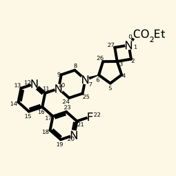 CCOC(=O)N1CC2(CC[C@@H](N3CCN(c4ncccc4-c4ccnc(F)c4)CC3)C2)C1